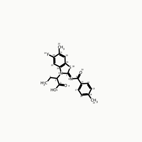 CCC(C(=O)O)n1c(=NC(=O)c2ccc(C)cc2)sc2cc(C)c(F)cc21